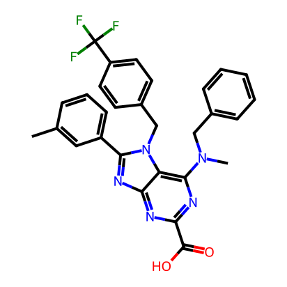 Cc1cccc(-c2nc3nc(C(=O)O)nc(N(C)Cc4ccccc4)c3n2Cc2ccc(C(F)(F)F)cc2)c1